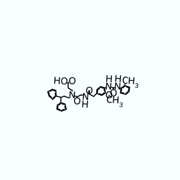 COc1cc(CC(=O)NCC(=O)N(CCC(=O)O)CCC(c2ccccc2)c2ccccc2)ccc1NC(=O)Nc1ccccc1C